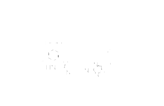 CCC(C)c1nc(N2CCC(N3CC[C@H](Nc4ccc(S(C)(=O)=O)cc4F)C3=O)CC2)no1